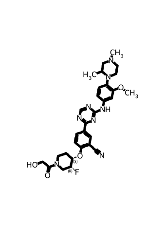 COc1cc(Nc2ncnc(-c3ccc(O[C@H]4CCN(C(=O)CO)C[C@H]4F)c(C#N)c3)n2)ccc1N1CCN(C)CC1C